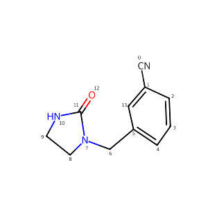 N#Cc1cccc(CN2CCNC2=O)c1